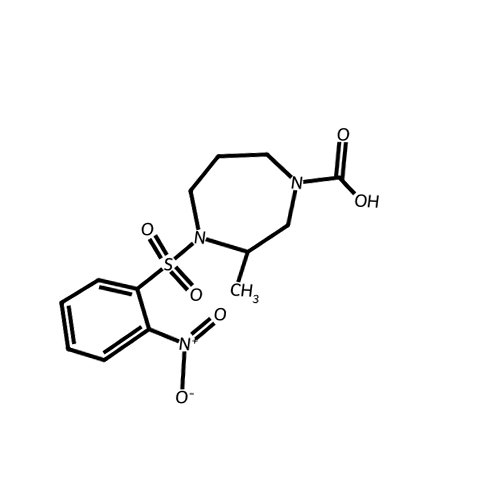 CC1CN(C(=O)O)CCCN1S(=O)(=O)c1ccccc1[N+](=O)[O-]